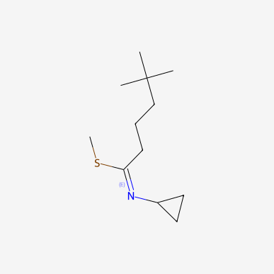 CS/C(CCCC(C)(C)C)=N/C1CC1